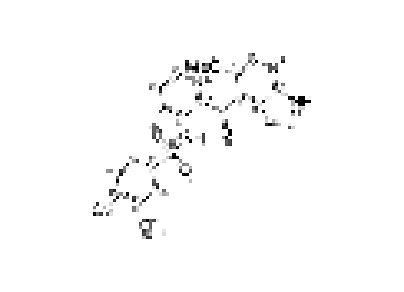 COc1cnc2[nH]ccc2c1C(=O)c1ncccc1NS(=O)(=O)c1ccc(Cl)c(C(F)(F)F)c1